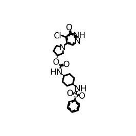 O=C(N[C@H]1CC[C@H](NS(=O)(=O)c2ccccc2)CC1)O[C@@H]1CCN(c2cn[nH]c(=O)c2Cl)C1